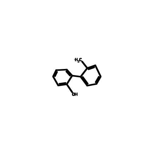 [CH2]c1ccccc1-c1ccccc1O